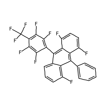 Fc1c(F)c(C(F)(F)F)c(F)c(F)c1-c1c2cccc(F)c2c(-c2ccccc2)c2c(F)ccc(F)c12